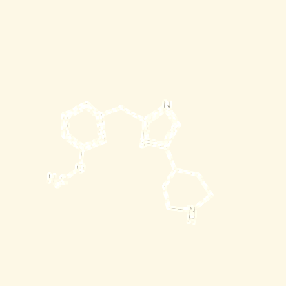 COc1cccc(Cc2ncc(C3CCNCC3)s2)c1